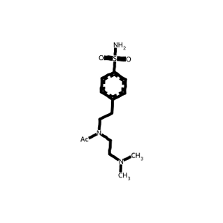 CC(=O)N(CCc1ccc(S(N)(=O)=O)cc1)CCN(C)C